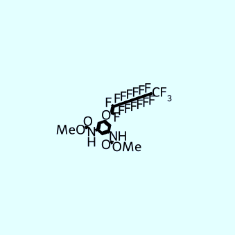 COC(=O)Nc1cc(NC(=O)OC)cc(OC(F)=C(F)C(F)(F)C(F)(F)C(F)(F)C(F)(F)C(F)(F)C(F)(F)C(F)(F)F)c1